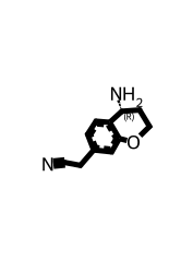 N#CCc1ccc2c(c1)OCC[C@H]2N